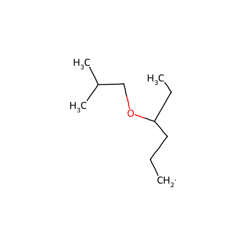 [CH2]CCC(CC)OCC(C)C